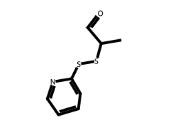 CC([C]=O)SSc1ccccn1